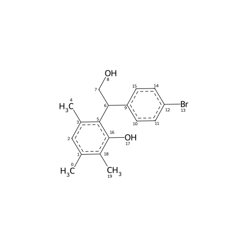 Cc1cc(C)c(C(CO)c2ccc(Br)cc2)c(O)c1C